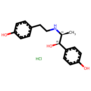 C[C@H](NCCc1ccc(O)cc1)[C@H](O)c1ccc(O)cc1.Cl